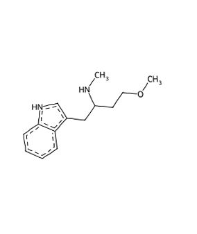 CNC(CCOC)Cc1c[nH]c2ccccc12